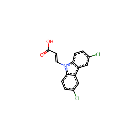 O=C(O)C=Cn1c2ccc(Cl)cc2c2cc(Cl)ccc21